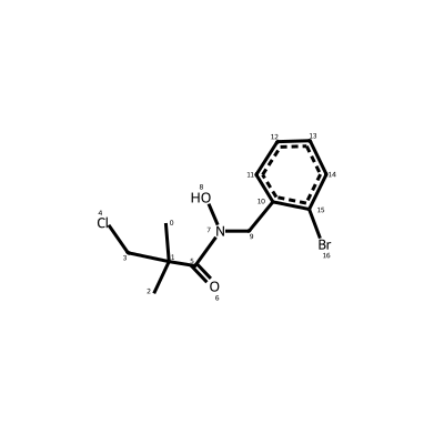 CC(C)(CCl)C(=O)N(O)Cc1ccccc1Br